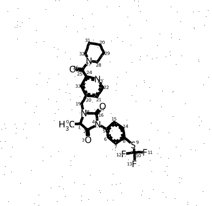 CC1C(=O)N(c2ccc(SC(F)(F)F)cc2)C(=O)N1Cc1ccnc(C(=O)N2CCCCC2)c1